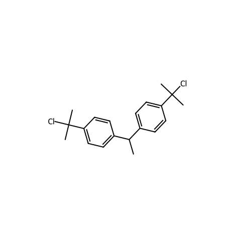 CC(c1ccc(C(C)(C)Cl)cc1)c1ccc(C(C)(C)Cl)cc1